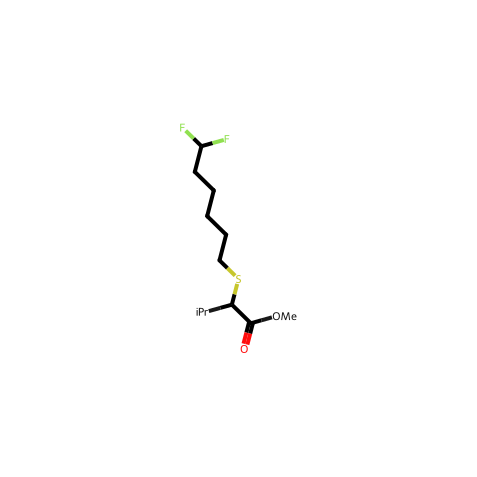 COC(=O)C(SCCCCCC(F)F)C(C)C